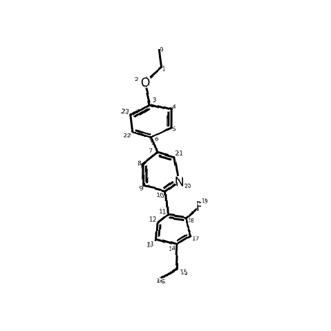 CCOc1ccc(-c2ccc(-c3ccc(CC)cc3F)nc2)cc1